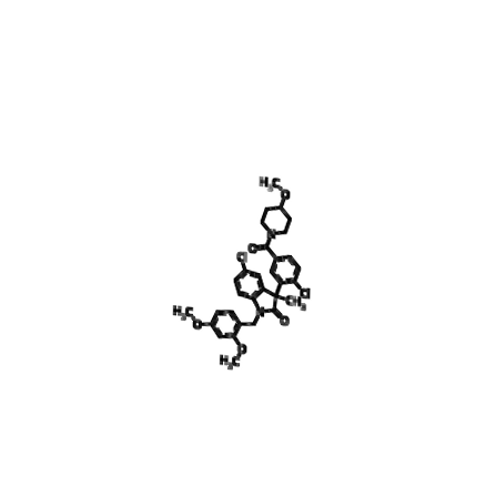 COc1ccc(CN2C(=O)C(C)(c3cc(C(=O)N4CCC(OC)CC4)ccc3Cl)c3cc(Cl)ccc32)c(OC)c1